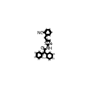 N#Cc1ccccc1Cc1cnc(NC(=O)C(c2ccccc2)C2CCCCC2)s1